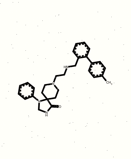 Cc1ccc(-c2ccccc2CNCCN2CCC3(CC2)C(=O)NCN3c2ccccc2)cc1